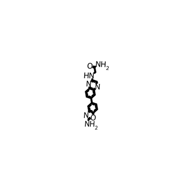 NC(=O)CNc1cnc2cc(-c3ccc4oc(N)nc4c3)ccc2n1